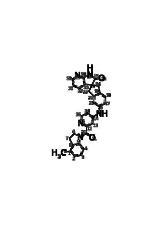 Cc1cccc2c1CCN2C(=O)c1cc(Nc2ccc3c(c2)CC2(C3)C(=O)Nc3ncccc32)ccn1